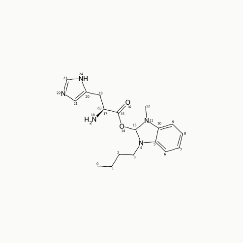 CCCCN1c2ccccc2N(C)C1OC(=O)[C@@H](N)Cc1cnc[nH]1